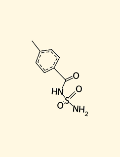 Cc1ccc(C(=O)NS(N)(=O)=O)cc1